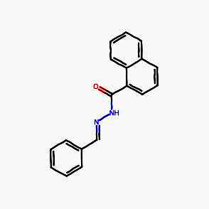 O=C(N/N=C/c1ccccc1)c1cccc2ccccc12